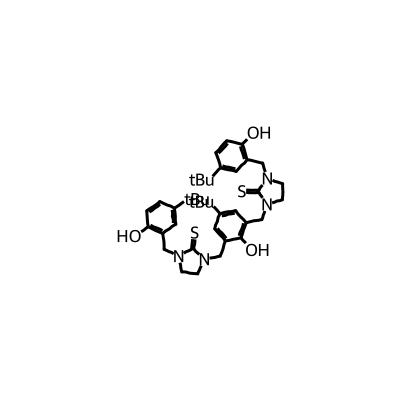 CC(C)(C)c1ccc(O)c(CN2CCN(Cc3cc(C(C)(C)C)cc(CN4CCN(Cc5cc(C(C)(C)C)ccc5O)C4=S)c3O)C2=S)c1